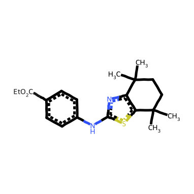 CCOC(=O)c1ccc(Nc2nc3c(s2)C(C)(C)CCC3(C)C)cc1